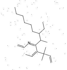 C=C/N=C(\C(=C/C)C(C)(C)C=C)C(C)C(CC)CCCCCC